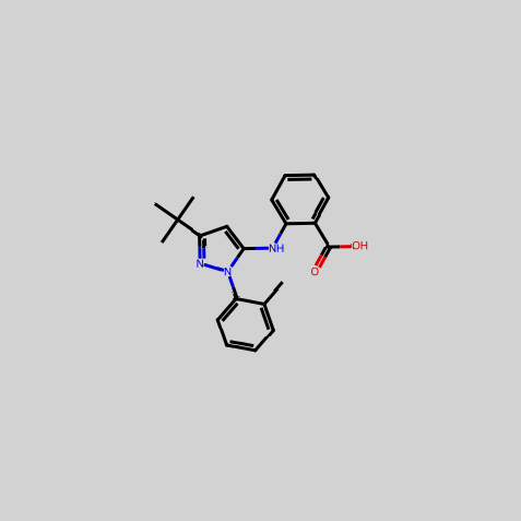 Cc1ccccc1-n1nc(C(C)(C)C)cc1Nc1ccccc1C(=O)O